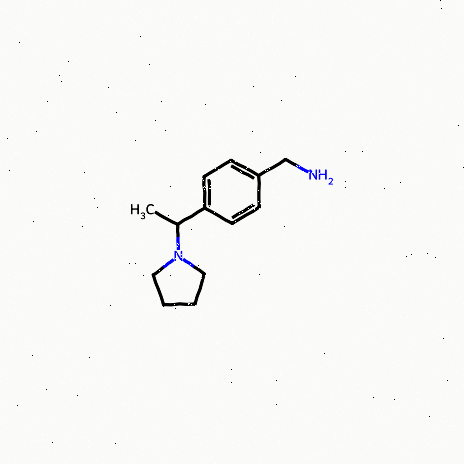 CC(c1ccc(CN)cc1)N1CCCC1